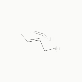 CC=CCC(C)C.N=C=O